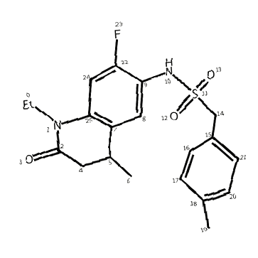 CCN1C(=O)CC(C)c2cc(NS(=O)(=O)Cc3ccc(C)cc3)c(F)cc21